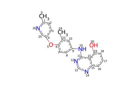 Cc1ccc(Oc2ccc(Nc3ncnc4cccc(O)c34)cc2C)cn1